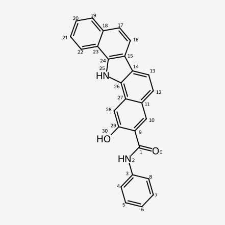 O=C(Nc1ccccc1)c1cc2ccc3c4ccc5ccccc5c4[nH]c3c2cc1O